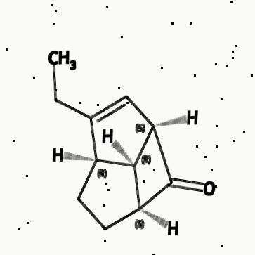 CCC1=C[C@H]2C(=O)[C@H]3CC[C@@H]1[C@H]32